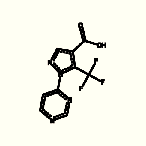 O=C(O)c1cnn(-c2ccncn2)c1C(F)(F)F